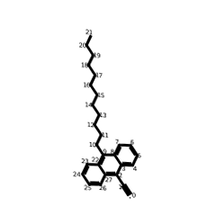 [C]#Cc1c2ccccc2c(CCCCCCCCCCCC)c2ccccc12